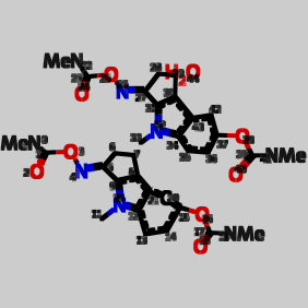 CNC(=O)ON=C1CCc2c1n(C)c1ccc(OC(=O)NC)cc21.CNC(=O)ON=C1CCc2c1n(C)c1ccc(OC(=O)NC)cc21.O